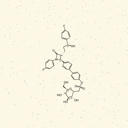 O=C1[C@H](CC[C@H](O)c2ccc(F)cc2)[C@@H](c2ccc(-c3ccc(OS(=O)(=O)CC4O[C@H](CO)[C@@H](O)[C@H](O)[C@H]4O)cc3)cc2)N1c1ccc(F)cc1